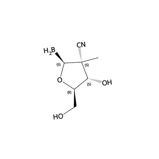 B[C@@H]1O[C@H](CO)[C@@H](O)[C@@]1(C)C#N